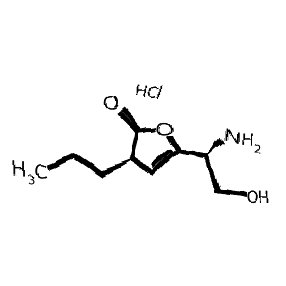 CCC[C@@H]1C=C([C@@H](N)CO)OC1=O.Cl